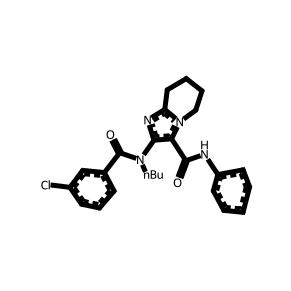 CCCCN(C(=O)c1cccc(Cl)c1)c1nc2n(c1C(=O)Nc1ccccc1)CCCC2